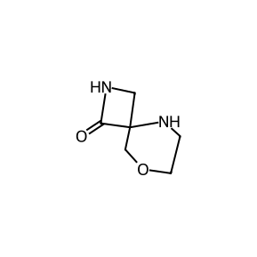 O=C1NCC12COCCN2